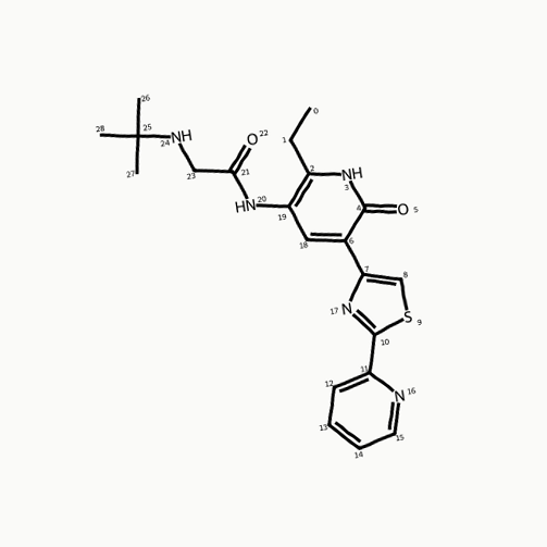 CCc1[nH]c(=O)c(-c2csc(-c3ccccn3)n2)cc1NC(=O)CNC(C)(C)C